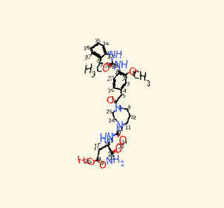 COc1cc(CC(=O)N2CCCN(C(=O)NC(CC(=O)O)C(N)=O)CC2)ccc1NC(=O)Nc1ccccc1C